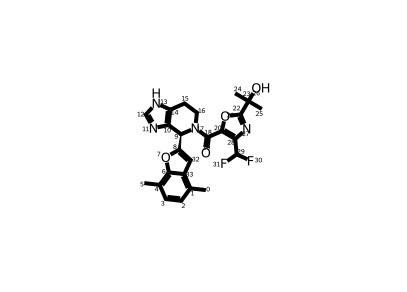 Cc1ccc(C)c2oc([C@H]3c4nc[nH]c4CCN3C(=O)c3oc(C(C)(C)O)nc3C(F)F)cc12